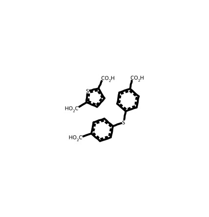 O=C(O)c1ccc(C(=O)O)s1.O=C(O)c1ccc(Sc2ccc(C(=O)O)cc2)cc1